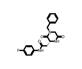 O=C(C[C@H]1NC(=O)CN(Cc2ccccc2)C1=O)Nc1ccc(F)cc1